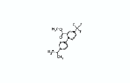 COC(=O)c1cc(C(F)(F)F)ccc1-c1ccc(C(C)C)cc1